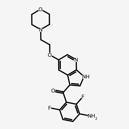 Nc1ccc(F)c(C(=O)c2c[nH]c3ncc(OCCN4CCOCC4)cc23)c1F